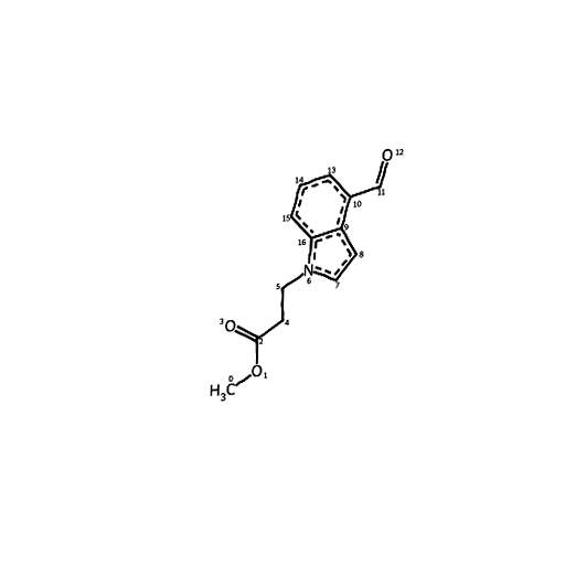 COC(=O)CCn1ccc2c(C=O)cccc21